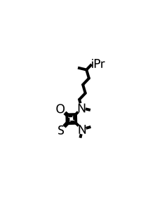 CC(C)C(C)CCCCN(C)c1c(N(C)C)c(=S)c1=O